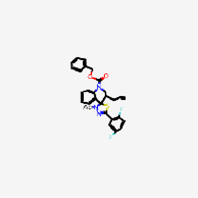 C=CCC1CN(C(=O)OCc2ccccc2)c2ccccc2C12SC(c1cc(F)ccc1F)=NN2C(C)=O